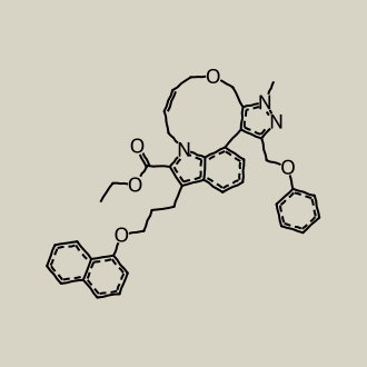 CCOC(=O)c1c(CCCOc2cccc3ccccc23)c2cccc3c2n1C/C=C\COCc1c-3c(COc2ccccc2)nn1C